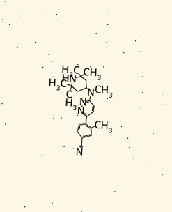 Cc1cc(C#N)ccc1-c1ccc(N(C)C2CC(C)(C)NC(C)(C)C2)nn1